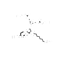 CCCCCCCCCCCCCCCCC(=O)O[C@@H]1[C@@H](COP(=O)(OCOC(=O)CCCCCCCC)OCOC(=O)CCCCCCCC)O[C@@H](n2ccc(N)nc2=O)C1(F)F